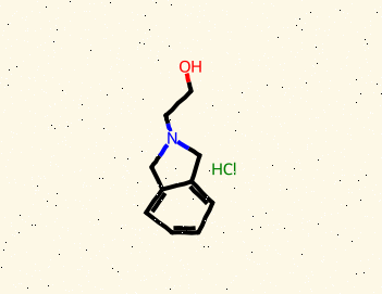 Cl.OCCN1Cc2ccccc2C1